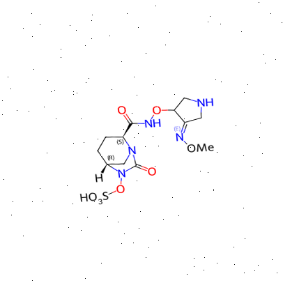 CO/N=C1\CNCC1ONC(=O)[C@@H]1CC[C@@H]2CN1C(=O)N2OS(=O)(=O)O